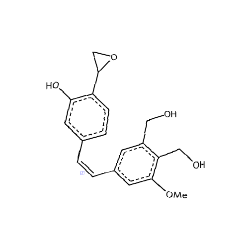 COc1cc(/C=C\c2ccc(C3CO3)c(O)c2)cc(CO)c1CO